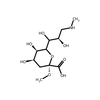 CNC[C@@H](O)C(O)C1O[C@@](OC)(C(=O)O)C[C@@H](O)[C@H]1O